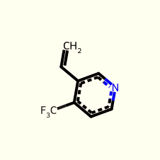 C=Cc1cnccc1C(F)(F)F